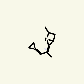 C/C(C=C1CC1)=C1\C2CC(C)N12